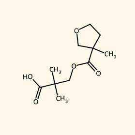 CC(C)(COC(=O)C1(C)CCOC1)C(=O)O